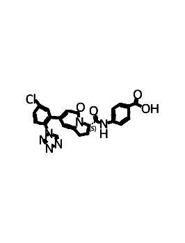 O=C(O)c1ccc(NC(=O)[C@@H]2CCc3cc(-c4cc(Cl)ccc4-n4cnnn4)cc(=O)n32)cc1